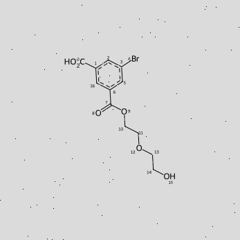 O=C(O)c1cc(Br)cc(C(=O)OCCOCCO)c1